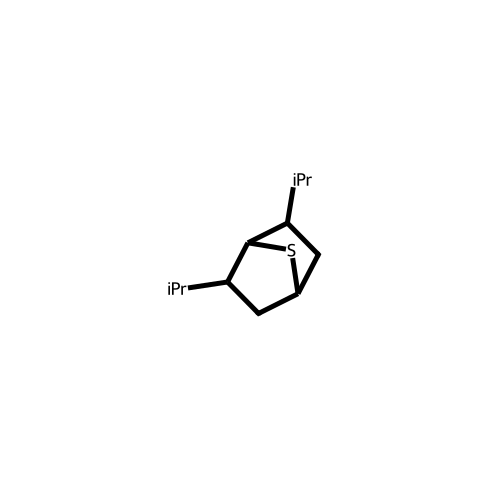 CC(C)C1CC2CC(C(C)C)C1S2